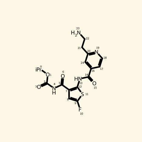 CC(C)OC(=O)NC(=O)c1cc(F)sc1NC(=O)c1ccnc(CCN)c1